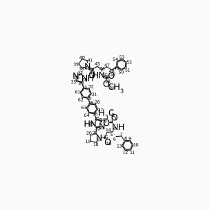 COC(=O)N[C@H](CCc1ccccc1)CC(=O)N1CCC[C@H]1c1ncc(-c2ccc(-c3ccc(-c4cnc([C@@H]5CCCN5C(=O)C[C@@H](CCc5ccccc5)NC(=O)OC)[nH]4)cc3)cc2)[nH]1